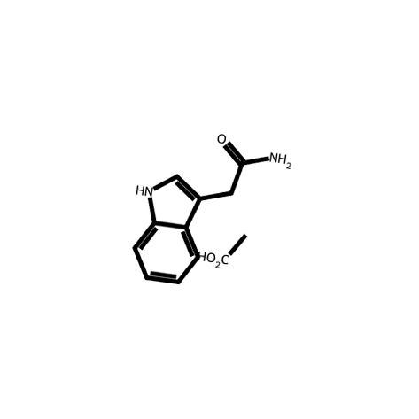 CC(=O)O.NC(=O)Cc1c[nH]c2ccccc12